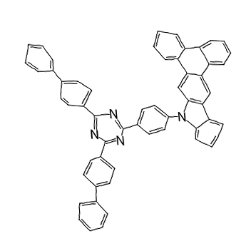 c1ccc(-c2ccc(-c3nc(-c4ccc(-c5ccccc5)cc4)nc(-c4ccc(-n5c6ccccc6c6cc7c8ccccc8c8ccccc8c7cc65)cc4)n3)cc2)cc1